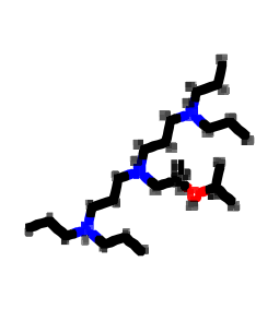 CCCN(CCC)CCCN(CCCN(CCC)CCC)C[SiH2]OC(C)C